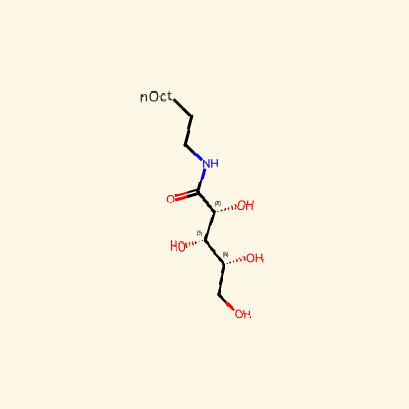 CCCCCCCCCCNC(=O)[C@H](O)[C@@H](O)[C@H](O)CO